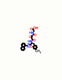 Cc1ccc(C[C@H](NC(=O)C2O[C@H]2C(=O)NCC(=O)O)C(=O)NCc2cccc3ccccc23)cc1